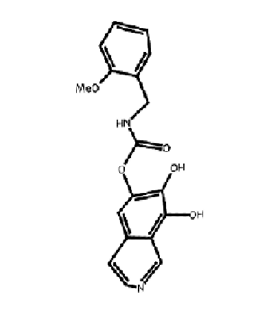 COc1ccccc1CNC(=O)Oc1cc2ccncc2c(O)c1O